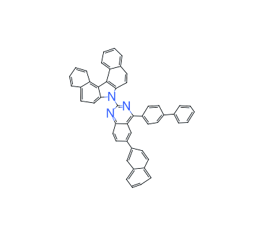 c1ccc(-c2ccc(-c3nc(-n4c5ccc6ccccc6c5c5c6ccccc6ccc54)nc4ccc(-c5ccc6ccccc6c5)cc34)cc2)cc1